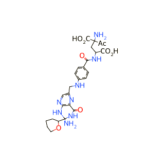 CC(=O)C(N)(CC(NC(=O)c1ccc(NCc2cnc3c(n2)C(=O)NC(N)(C2CCCCO2)N3)cc1)C(=O)O)C(=O)O